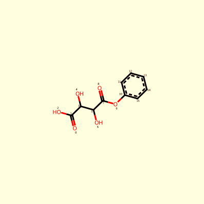 O=C(O)C(O)C(O)C(=O)Oc1ccccc1